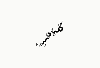 CC(=O)CCCCn1cc(NC(=O)C=Cc2cccc(OC(F)(F)F)c2)cn1